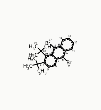 CC(C)(C)c1ccc2c(Br)c3ccccc3c(Br)c2c1C(C)(C)C